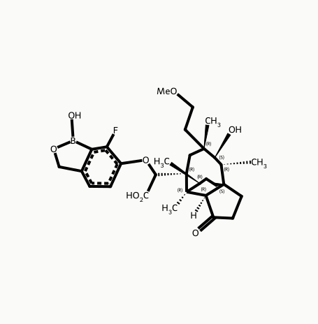 COCC[C@@]1(C)C[C@@H](C(Oc2ccc3c(c2F)B(O)OC3)C(=O)O)[C@@]2(C)[C@H](C)CC[C@]3(CCC(=O)[C@H]32)[C@@H](C)[C@@H]1O